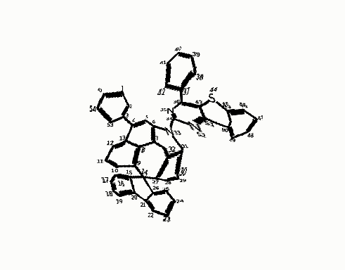 c1ccc(-c2cc3c4c5c(cccc25)C2(c5ccccc5-c5ccccc52)c2cccc(c24)n3-c2nc(-c3ccccc3)c3sc4ccccc4c3n2)cc1